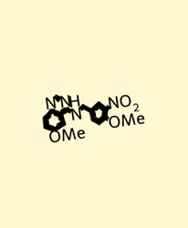 COc1ccc2ncnc(NCc3ccc(OC)c([N+](=O)[O-])c3)c2c1